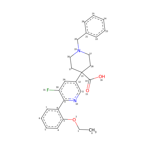 CCOc1ccccc1-c1ncc(C2(C(=O)O)CCN(Cc3ccccc3)CC2)cc1F